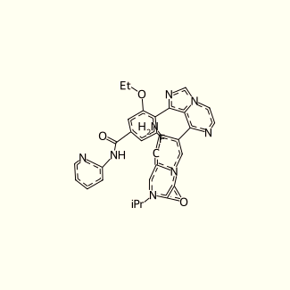 CCOc1cc(C(=O)Nc2ccccn2)cc(F)c1-c1ncn2ccnc(-c3cn4c5oc=5n(C(C)C)cc4cc3N)c12